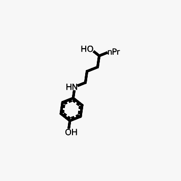 CCCC(O)CCCNc1ccc(O)cc1